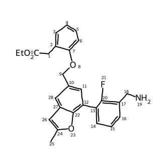 CCOC(=O)Cc1ccccc1OCc1cc(-c2cccc(CN)c2F)c2oc(C)cc2c1